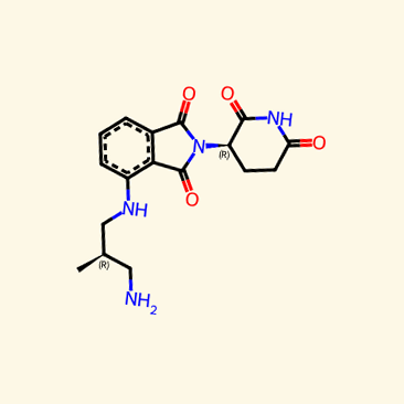 C[C@H](CN)CNc1cccc2c1C(=O)N([C@@H]1CCC(=O)NC1=O)C2=O